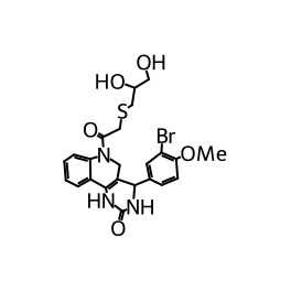 COc1ccc(C2NC(=O)NC3=C2CN(C(=O)CSCC(O)CO)c2ccccc23)cc1Br